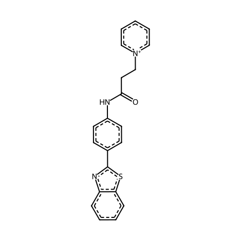 O=C(CC[n+]1ccccc1)Nc1ccc(-c2nc3ccccc3s2)cc1